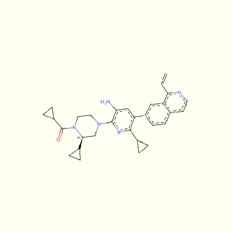 C=Cc1nccc2ccc(-c3cc(N)c(N4CCN(C(=O)C5CC5)[C@H](C5CC5)C4)nc3C3CC3)cc12